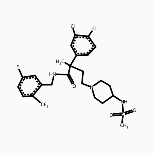 CC(CCN1CCC(NS(C)(=O)=O)CC1)(C(=O)NCc1cc(F)ccc1C(F)(F)F)c1ccc(Cl)c(Cl)c1